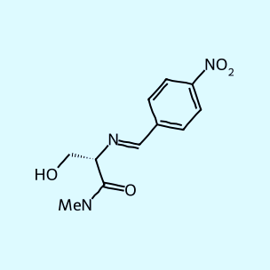 CNC(=O)[C@H](CO)/N=C/c1ccc([N+](=O)[O-])cc1